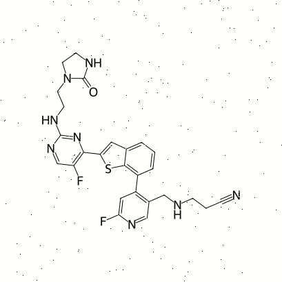 N#CCCNCc1cnc(F)cc1-c1cccc2cc(-c3nc(NCCN4CCNC4=O)ncc3F)sc12